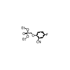 CCOP(=O)(COc1c[c]c(F)cc1C#N)OCC